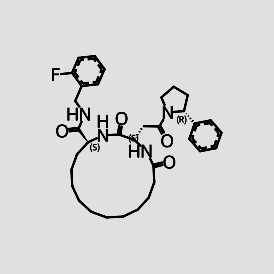 O=C1CCCCCCCCCC[C@@H](C(=O)NCc2ccccc2F)NC(=O)[C@H](CC(=O)N2CCC[C@@H]2c2ccccc2)N1